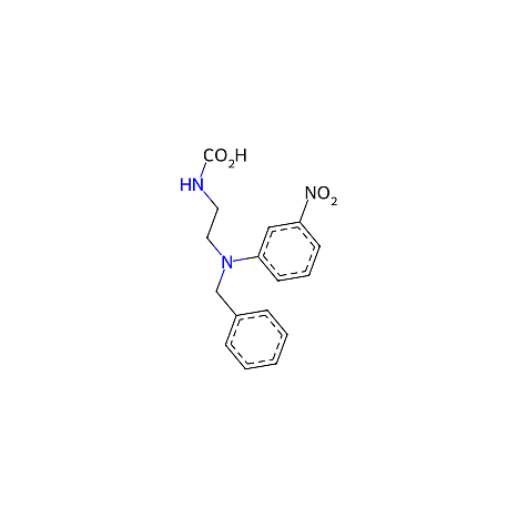 O=C(O)NCCN(Cc1ccccc1)c1cccc([N+](=O)[O-])c1